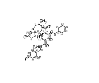 C[C@H]1CC[C@]2(CCC(=O)N2)[C@H]2CN1C(=O)c1c(OCc3ccccc3)c(=O)c(C(=O)NCc3c(F)cc(F)cc3F)cn12